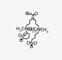 CCC(C)C(=O)N(CCC[N+](C)(C)CCCCS(=O)(=O)[O-])CCC[N+](C)(C)CCCCS(=O)(=O)[O-]